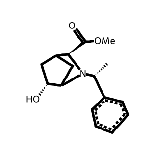 COC(=O)[C@@H]1C2CC([C@H](O)C2)N1[C@H](C)c1ccccc1